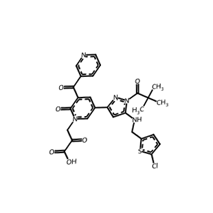 CC(C)(C)C(=O)n1nc(-c2cc(C(=O)c3cccnc3)c(=O)n(CC(=O)C(=O)O)c2)cc1NCc1ccc(Cl)s1